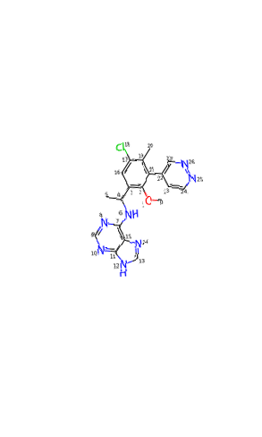 COc1c(C(C)Nc2ncnc3[nH]cnc23)cc(Cl)c(C)c1-c1ccnnc1